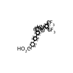 O=C(O)C[C@H]1CC[C@H](c2ccc(-c3ccc4c(c3)OCCN4C(=O)Nc3cc(C(F)(F)F)cc(C(F)(F)F)c3)cc2)CC1